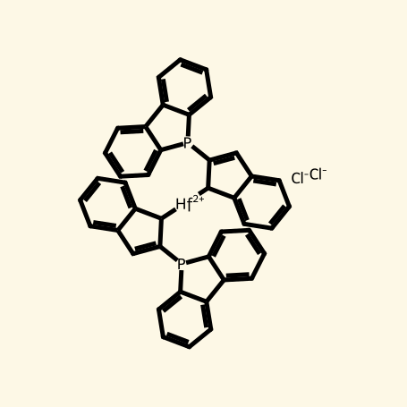 C1=C(p2c3ccccc3c3ccccc32)[CH]([Hf+2][CH]2C(p3c4ccccc4c4ccccc43)=Cc3ccccc32)c2ccccc21.[Cl-].[Cl-]